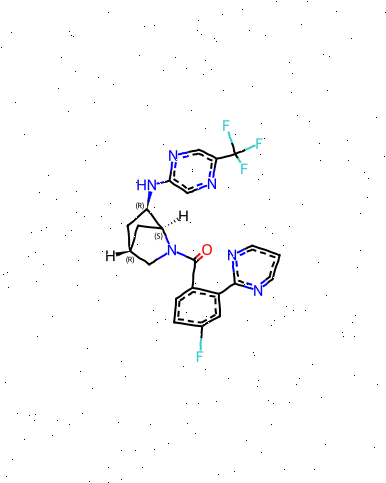 O=C(c1ccc(F)cc1-c1ncccn1)N1C[C@@H]2C[C@@H](Nc3cnc(C(F)(F)F)cn3)[C@@H]1C2